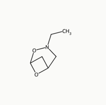 CCN1CC2CC(O2)O1